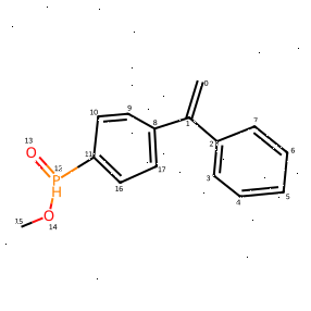 C=C(c1ccccc1)c1ccc([PH](=O)OC)cc1